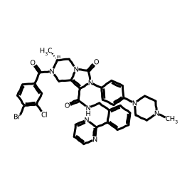 C[C@@H]1Cn2c(c(C(=O)NCc3ccccc3-c3ncccn3)n(-c3ccc(N4CCN(C)CC4)cc3)c2=O)CN1C(=O)c1ccc(Br)c(Cl)c1